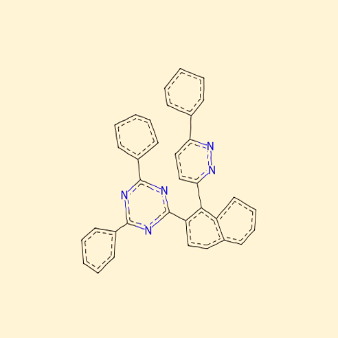 c1ccc(-c2ccc(-c3c(-c4nc(-c5ccccc5)nc(-c5ccccc5)n4)ccc4ccccc34)nn2)cc1